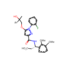 COc1cccc([C@H](CC(=O)O)NC(=O)c2cc(OCC(C)(O)C(C)C)n(-c3ccccc3F)n2)c1OC